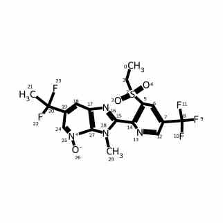 CCS(=O)(=O)c1cc(C(F)(F)F)cnc1-c1nc2cc(C(C)(F)F)c[n+]([O-])c2n1C